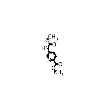 COC(=O)Nc1ccc(C(=O)OC)nc1